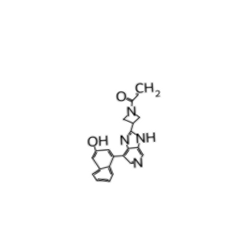 C=CC(=O)N1CC(c2nc3c(-c4cc(O)cc5ccccc45)cncc3[nH]2)C1